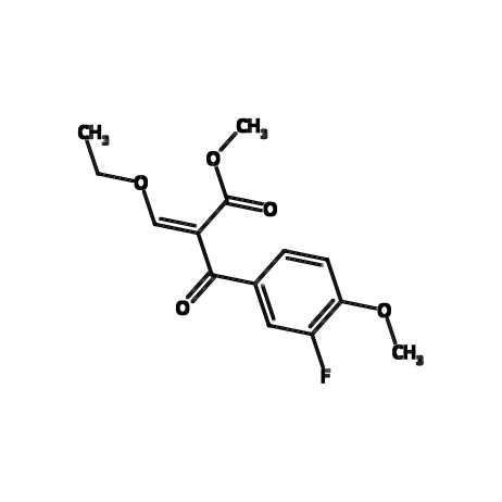 CCOC=C(C(=O)OC)C(=O)c1ccc(OC)c(F)c1